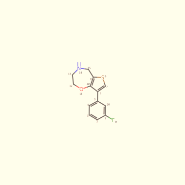 Fc1cccc(-c2csc3c2OCCNC3)c1